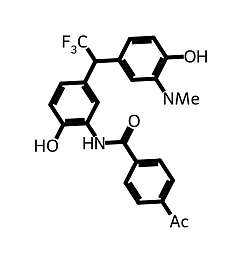 CNc1cc(C(c2ccc(O)c(NC(=O)c3ccc(C(C)=O)cc3)c2)C(F)(F)F)ccc1O